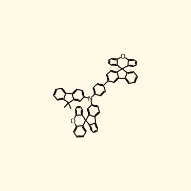 CC1(C)c2ccccc2-c2ccc(N(c3ccc(-c4ccc5c(c4)-c4ccccc4C54c5ccccc5Oc5ccccc54)cc3)c3ccc4c(c3)C3(c5ccccc5Oc5ccccc53)c3ccccc3-4)cc21